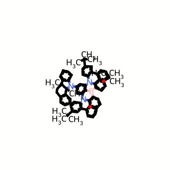 CC(C)(C)c1ccc(N2c3ccccc3B3c4ccc(C(C)(C)C)cc4N(c4ccc(C(C)(C)C)cc4-c4ccccc4)c4cc(N5c6ccccc6C6(C)CCc7ccccc7C56C)cc2c43)c(-c2ccccc2)c1